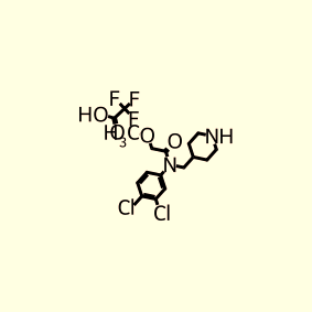 COCC(=O)N(CC1CCNCC1)c1ccc(Cl)c(Cl)c1.O=C(O)C(F)(F)F